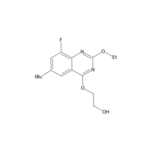 CCOc1nc(OCCO)c2cc(C(C)(C)C)cc(F)c2n1